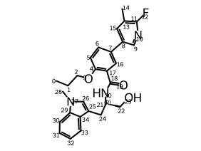 CCCOc1ccc(-c2cnc(F)c(C)c2)cc1C(=O)N[C@@H](CO)Cc1cn(C)c2ccccc12